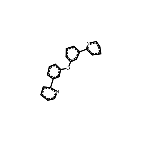 c1ccc(-c2cccc(Oc3cccc(-c4ccccn4)c3)c2)nc1